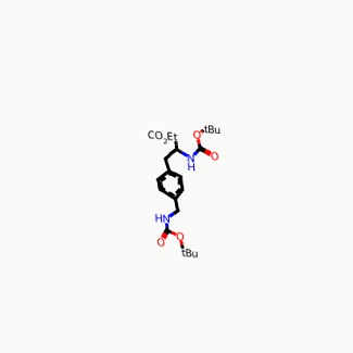 CCOC(=O)C(Cc1ccc(CNC(=O)OC(C)(C)C)cc1)NC(=O)OC(C)(C)C